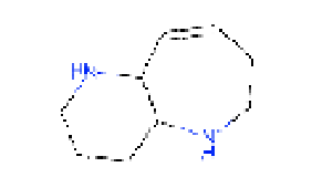 C1=CC2NCCCC2NCC1